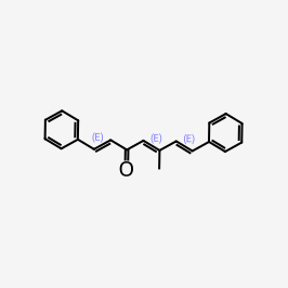 CC(/C=C/c1ccccc1)=C\C(=O)/C=C/c1ccccc1